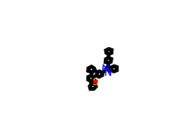 c1ccc(-c2ccc(-c3nc(-c4ccc5c(c4)c4ccccc4c4ccc6c7ccccc7sc6c45)nc4ccccc34)cc2)cc1